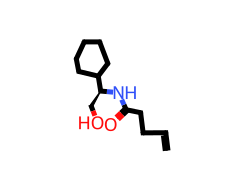 C=CCCC(=O)N[C@@H](CO)C1CCCCC1